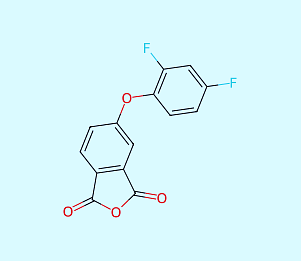 O=C1OC(=O)c2cc(Oc3ccc(F)cc3F)ccc21